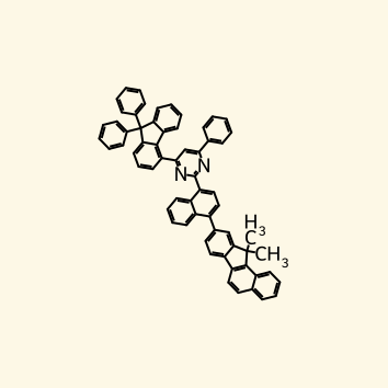 CC1(C)c2cc(-c3ccc(-c4nc(-c5ccccc5)cc(-c5cccc6c5-c5ccccc5C6(c5ccccc5)c5ccccc5)n4)c4ccccc34)ccc2-c2ccc3ccccc3c21